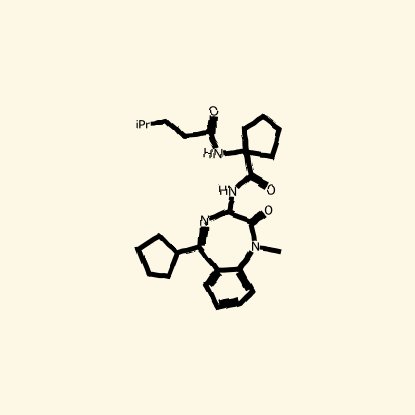 CC(C)CCC(=O)NC1(C(=O)NC2N=C(C3CCCC3)c3ccccc3N(C)C2=O)CCCC1